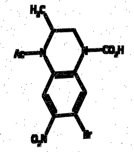 CC(=O)N1c2cc([N+](=O)[O-])c(Br)cc2N(C(=O)O)CC1C